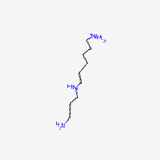 NCCCCCCNCCCN